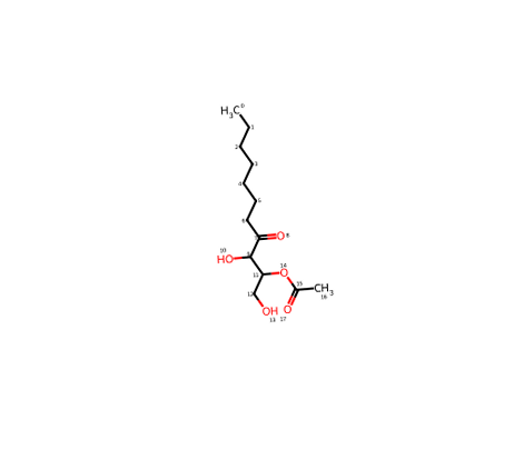 CCCCCCCC(=O)C(O)C(CO)OC(C)=O